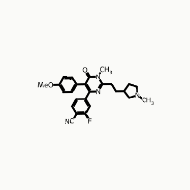 COc1ccc(-c2c(-c3ccc(C#N)c(F)c3)nc(CCC3CCN(C)C3)n(C)c2=O)cc1